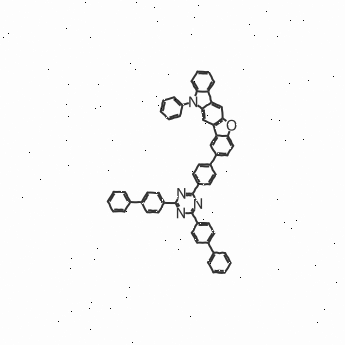 c1ccc(-c2ccc(-c3nc(-c4ccc(-c5ccccc5)cc4)nc(-c4ccc(-c5ccc6oc7cc8c9ccccc9n(-c9ccccc9)c8cc7c6c5)cc4)n3)cc2)cc1